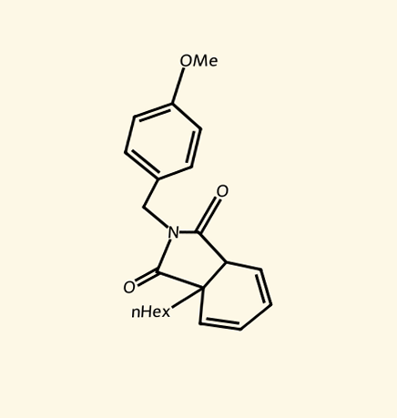 CCCCCCC12C=CC=CC1C(=O)N(Cc1ccc(OC)cc1)C2=O